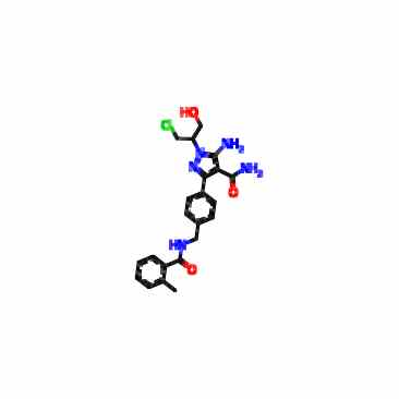 Cc1ccccc1C(=O)NCc1ccc(-c2nn(C(CO)CCl)c(N)c2C(N)=O)cc1